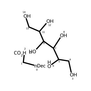 CCCCCCCCCCCC(=O)O.OCC(O)C(O)C(O)C(O)CO